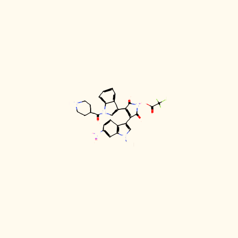 Cn1cc(C2=C(c3cn(C(=O)C4CCNCC4)c4ccccc34)C(=O)N(OC(=O)C(F)(F)F)C2=O)c2ccc([N+](=O)[O-])cc21